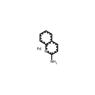 Nc1ccc2ccccc2n1.[Pd]